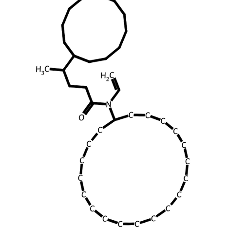 C=CN(C(=O)CCC(C)C1CCCCCCCCCCC1)C1CCCCCCCCCCCCCCCCCCC1